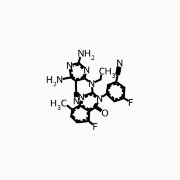 CCN(c1nc(N)nc(N)c1C#N)c1nc2c(C)ccc(F)c2c(=O)n1-c1cc(F)cc(C#N)c1